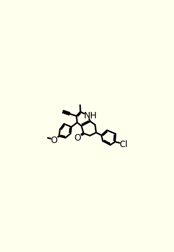 C#CC1=C(C)NC2=C(C(=O)CC(c3ccc(Cl)cc3)C2)C1c1ccc(OC)cc1